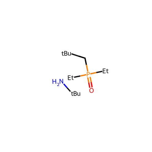 CC(C)(C)N.CCP(=O)(CC)CC(C)(C)C